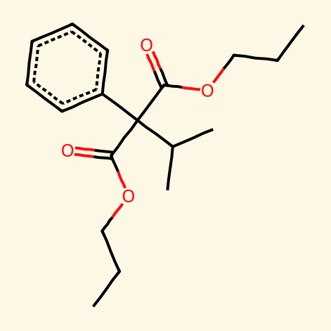 CCCOC(=O)C(C(=O)OCCC)(c1ccccc1)C(C)C